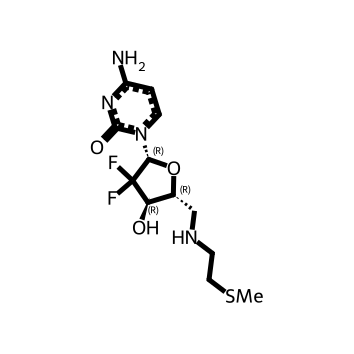 CSCCNC[C@H]1O[C@@H](n2ccc(N)nc2=O)C(F)(F)[C@@H]1O